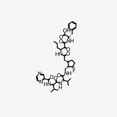 CCCC(NC(=O)C[C@H]1CC[C@H](F)[C@H]1CNC(=O)[C@@H](NC(=O)[C@H](NC(=O)c1cnccn1)C(C)C)C(C)C)C(=O)C(=O)N[C@@H](Cc1ccccc1)C(=O)O